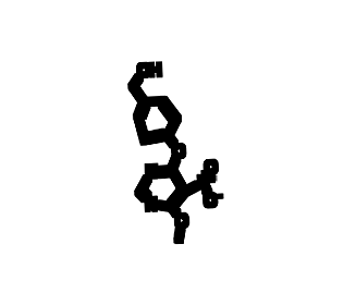 COc1ncnc(Oc2ccc(CO)cc2)c1[N+](=O)[O-]